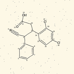 N#CC(c1ccccc1)C(CC(=O)O)c1ccc(Cl)cc1Cl